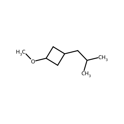 COC1CC(CC(C)C)C1